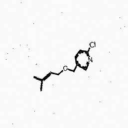 CC(C)=CCOCc1ccc(Cl)nc1